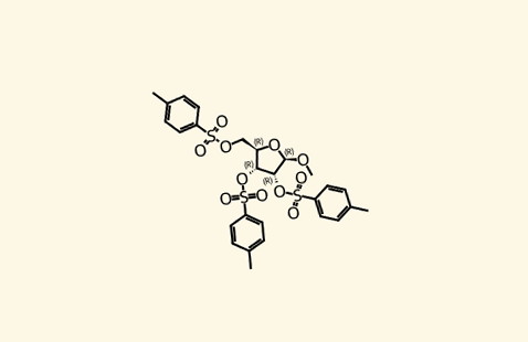 CO[C@@H]1O[C@H](COS(=O)(=O)c2ccc(C)cc2)[C@@H](OS(=O)(=O)c2ccc(C)cc2)[C@H]1OS(=O)(=O)c1ccc(C)cc1